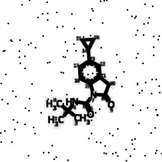 CC(C)(C)NC(=O)N1C(=O)Cc2cc(C3CC3)ccc21